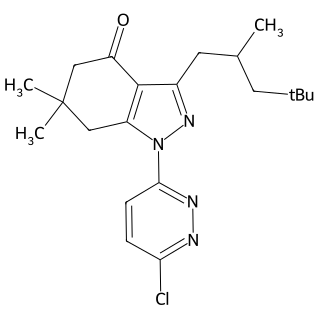 CC(Cc1nn(-c2ccc(Cl)nn2)c2c1C(=O)CC(C)(C)C2)CC(C)(C)C